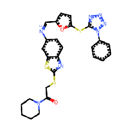 O=C(CSc1nc2ccc(/N=C\c3ccc(Sc4nnnn4-c4ccccc4)o3)cc2s1)N1CCCCC1